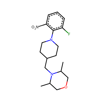 CC1COCC(C)N1CC1CCN(c2c(F)cccc2[N+](=O)[O-])CC1